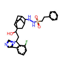 O=S(=O)(CCc1ccccc1)NNC1C2CC3CC1CC(C(O)CC1c4c(F)cccc4-c4cncn41)(C3)C2